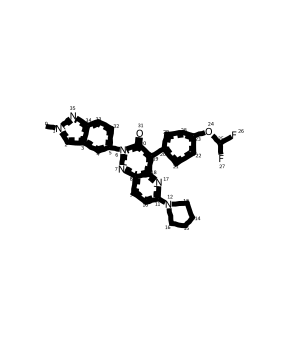 Cn1cc2cc(-n3nc4ccc(N5CCCC5)nc4c(-c4ccc(OC(F)F)cc4)c3=O)ccc2n1